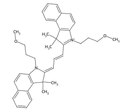 COCCCN1/C(=C\C=C\C2=[N+](CCCOC)c3ccc4ccccc4c3C2(C)C)C(C)(C)c2c1ccc1ccccc21